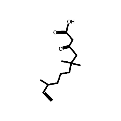 C=CC(C)CCCC(C)(C)CC(=O)CC(=O)O